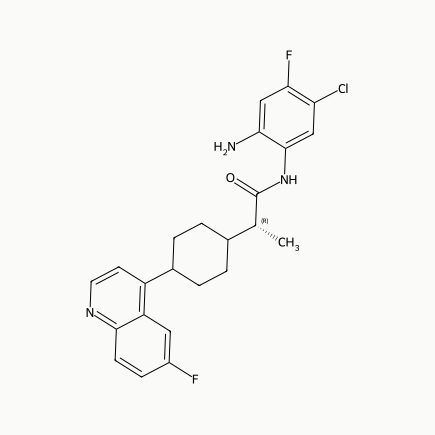 C[C@@H](C(=O)Nc1cc(Cl)c(F)cc1N)C1CCC(c2ccnc3ccc(F)cc23)CC1